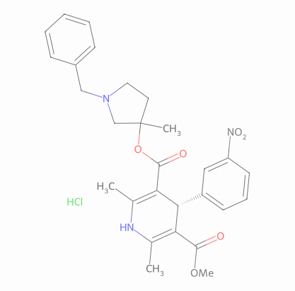 COC(=O)C1=C(C)NC(C)=C(C(=O)OC2(C)CCN(Cc3ccccc3)C2)[C@@H]1c1cccc([N+](=O)[O-])c1.Cl